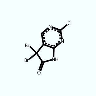 O=C1Nc2nc(Cl)ncc2C1(Br)Br